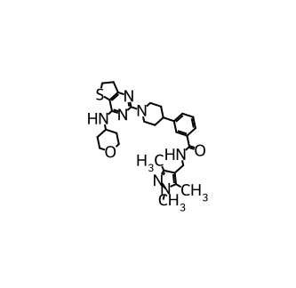 Cc1nn(C)c(C)c1CNC(=O)c1cccc(C2CCN(c3nc4c(c(NC5CCOCC5)n3)SCC4)CC2)c1